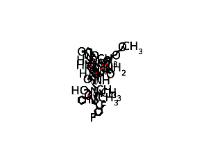 COCCOCCOCC(=O)N[C@@H](C)C(=O)N(C)[C@@H](C)C(=O)N[C@@H](CC(=O)N[C@@H](CCN(C(=O)CO)[C@@H](c1cc(-c2cc(F)ccc2F)cn1Cc1ccccc1)C(C)(C)C)C(=O)NCCNC(=O)CN1C(=O)C=CC1=O)C(N)=O